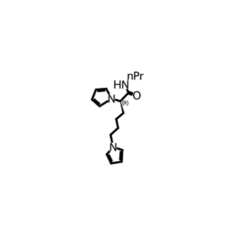 CCCNC(=O)[C@@H](CCCCn1cccc1)n1cccc1